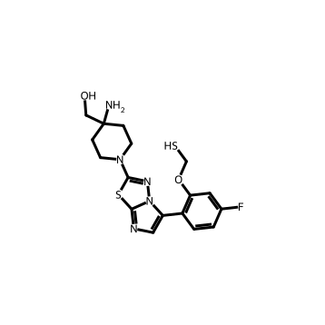 NC1(CO)CCN(c2nn3c(-c4ccc(F)cc4OCS)cnc3s2)CC1